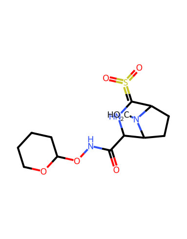 O=C(NOC1CCCCO1)C1NC(=S(=O)=O)C2CCC1N2C(=O)O